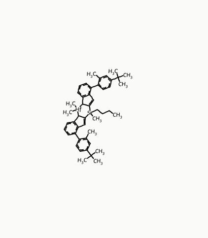 CCCC[Si]1(C)C2=Cc3c(-c4ccc(C(C)(C)C)cc4C)cccc3[CH]2[Hf]([CH3])([CH3])[CH]2C1=Cc1c(-c3ccc(C(C)(C)C)cc3C)cccc12